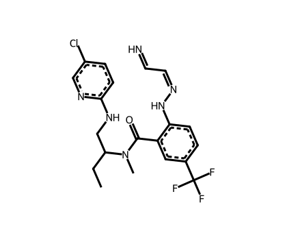 CCC(CNc1ccc(Cl)cn1)N(C)C(=O)c1cc(C(F)(F)F)ccc1N/N=C\C=N